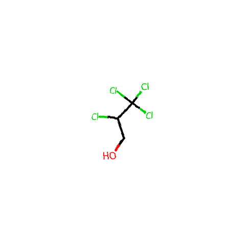 OCC(Cl)C(Cl)(Cl)Cl